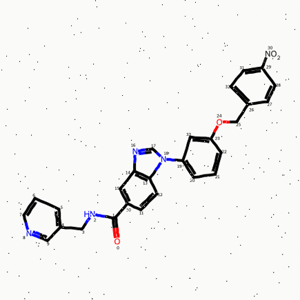 O=C(NCc1cccnc1)c1ccc2c(c1)ncn2-c1cccc(OCc2ccc([N+](=O)[O-])cc2)c1